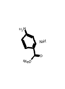 COC(=O)c1ccc(N)cc1.[NaH]